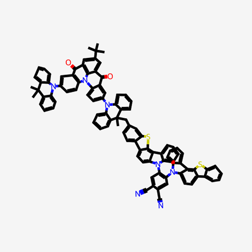 CC(C)(C)c1cc2c(=O)c3cc(N4c5ccccc5C(C)(C)c5ccccc54)ccc3n3c4ccc(N5c6ccccc6C(C)(Cc6ccc7c(c6)sc6c7ccc7c6c6ccccc6n7-c6cc(C#N)c(C#N)cc6-n6c7ccccc7c7c8sc9ccccc9c8ccc76)c6ccccc65)cc4c(=O)c(c1)c23